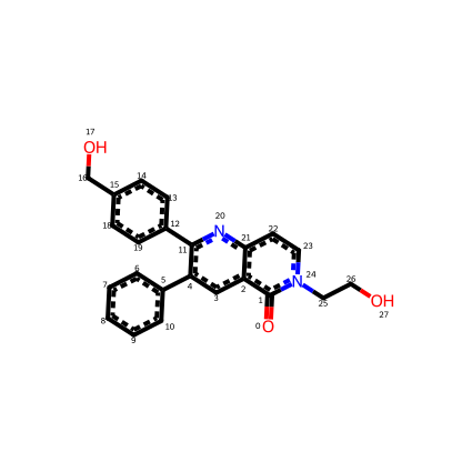 O=c1c2cc(-c3ccccc3)c(-c3ccc(CO)cc3)nc2ccn1CCO